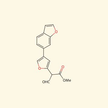 COC(=O)C(C=O)c1cc(-c2ccc3ccoc3c2)co1